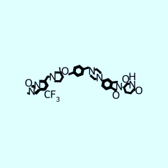 Cn1cc2c(C(F)(F)F)cc(CN3CCC[C@@](C)(OCc4ccc(CN5CCN(c6ccc7c(c6)CN([C@H]6CCC(=O)NC6=O)C7=O)CC5)cc4)C3)cn2c1=O